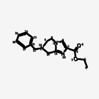 CCOC(=O)C1=C[N+]2CCN(Cc3ccccc3)CC2=N1